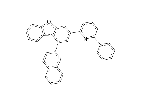 c1ccc(-c2cccc(-c3cc(-c4ccc5ccccc5c4)c4c(c3)oc3ccccc34)n2)cc1